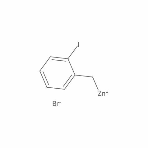 [Br-].[Zn+][CH2]c1ccccc1I